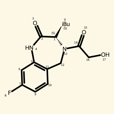 CC[C@H](C)[C@H]1C(=O)Nc2cc(F)ccc2CN1C(=O)CO